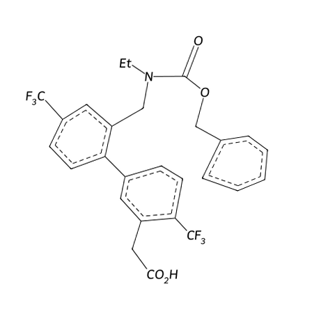 CCN(Cc1cc(C(F)(F)F)ccc1-c1ccc(C(F)(F)F)c(CC(=O)O)c1)C(=O)OCc1ccccc1